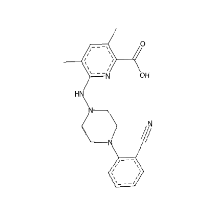 Cc1cc(C)c(C(=O)O)nc1NN1CCN(c2ccccc2C#N)CC1